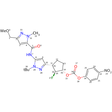 COCc1cc(C(=O)Nc2cc([C@@H]3CC[C@H](OC(=O)Oc4ccc([N+](=O)[O-])cc4)[C@H]3F)nn2C(C)(C)C)n(C)n1